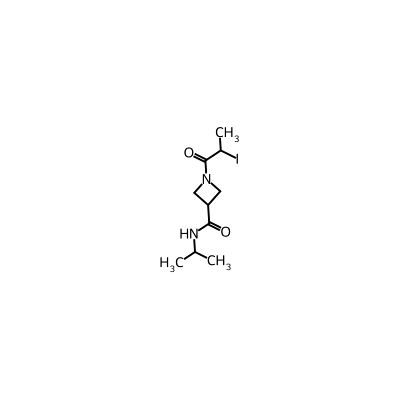 CC(C)NC(=O)C1CN(C(=O)C(C)I)C1